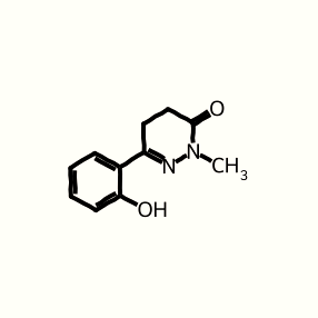 CN1N=C(c2ccccc2O)CCC1=O